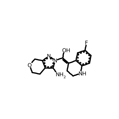 Nc1c2c(nn1/C(O)=C1\CCNc3ccc(F)cc31)COCC2